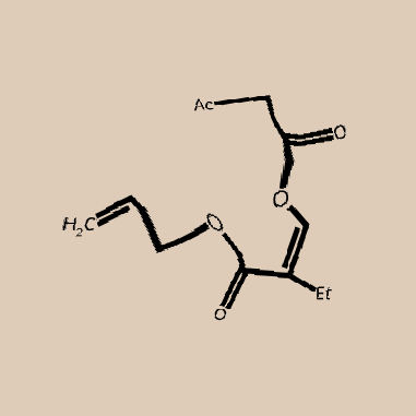 C=CCOC(=O)C(=COC(=O)CC(C)=O)CC